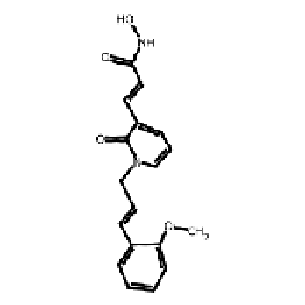 COc1ccccc1/C=C/Cn1cccc(/C=C/C(=O)NO)c1=O